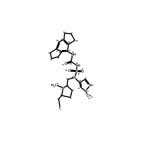 CN1C(CF)CCC1CN(c1cnn(C)c1)S(=O)(=O)NC(=O)Nc1c2c(cc3c1CCC3)CCC2